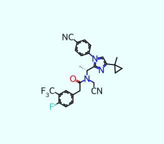 C[C@H](c1nc(C2(C)CC2)cn1-c1ccc(C#N)cc1)N(CC#N)C(=O)Cc1ccc(F)c(C(F)(F)F)c1